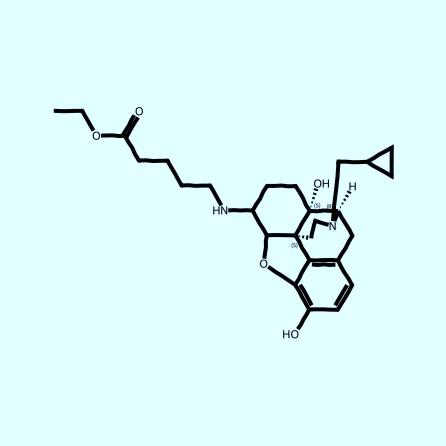 CCOC(=O)CCCCNC1CC[C@@]2(O)[C@H]3Cc4ccc(O)c5c4[C@@]2(CCN3CC2CC2)C1O5